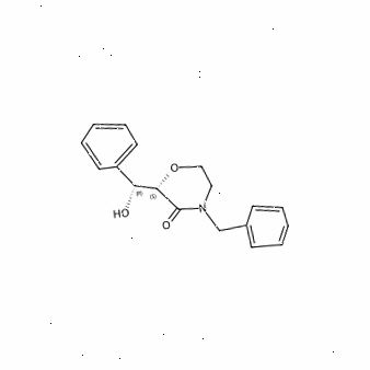 O=C1[C@H]([C@H](O)c2ccccc2)OCCN1Cc1ccccc1